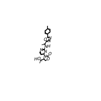 Cc1ccc(-c2nnc([C@H](C)Nc3nccc(N4C(=O)OCC4[C@@H](C)O)n3)o2)cc1